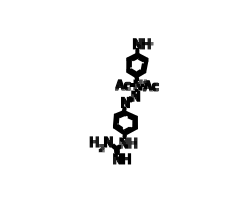 CC(=O)[N+](N=Nc1ccc(NC(=N)N)cc1)(C(C)=O)c1ccc([NH])cc1